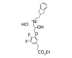 CCOC(=O)CCc1cc(F)c(F)c(OC[C@H](O)C[N+](C)(C)CCC2Cc3ccccc3C2)c1.Cl